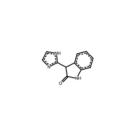 O=C1Nc2ccccc2C1c1ncc[nH]1